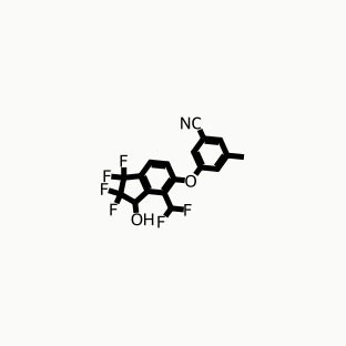 Cc1cc(C#N)cc(Oc2ccc3c(c2C(F)F)C(O)C(F)(F)C3(F)F)c1